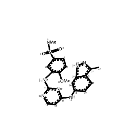 CNS(=O)(=O)c1ccc(OC)c(Nc2nccc(Nc3ccc4c(C)n[nH]c4c3)n2)c1